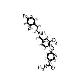 COC1=C(Oc2ccc(C(N)=O)cn2)C=CC(=CNCCc2ccc(F)cc2F)C1